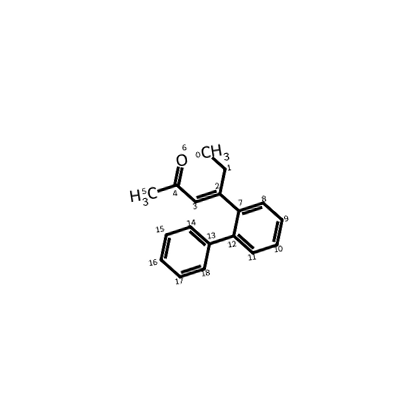 CCC(=CC(C)=O)c1ccccc1-c1ccccc1